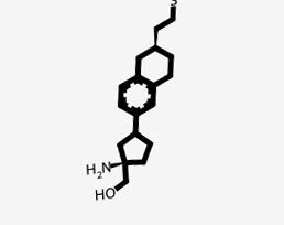 CCCSCC[C@H]1CCc2cc(C3CC[C@](N)(CO)C3)ccc2C1